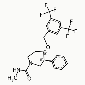 CNC(=O)N1CC[C@H](OCc2cc(C(F)(F)F)cc(C(F)(F)F)c2)[C@@H](c2ccccc2)C1